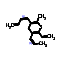 C=C/C=C\C1=C(C)SC(C=C)=C(/C=C\C)C1